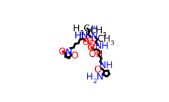 CC(NC(=O)[C@@H](NC(=O)CCCCCN1C(=O)C=CC1=O)C(C)C)C(=O)NC(CCCCNC(=O)C1CCCC1N)C(=O)O